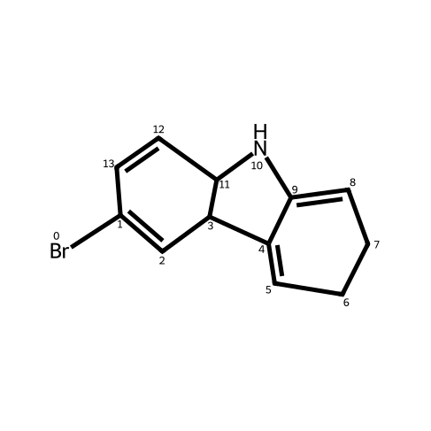 BrC1=CC2C3=CCCC=C3NC2C=C1